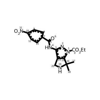 CCOC(=O)n1nc(NC(=O)c2ccc([N+](=O)[O-])cc2)c2c1C(C)(C)NC2